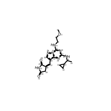 COCCNc1nc(NC(C)C2CC2)nc2c(C=C3CC(=O)NC3=O)cnn12